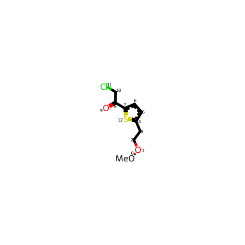 COOCCc1ccc(C(=O)CCl)s1